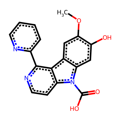 COc1cc2c3c(-c4ccccn4)nccc3n(C(=O)O)c2cc1O